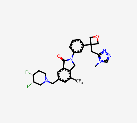 Cn1cnnc1CC1(c2cccc(N3Cc4c(cc(CN5CC[C@@H](F)[C@@H](F)C5)cc4C(F)(F)F)C3=O)c2)COC1